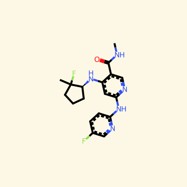 CNC(=O)c1cnc(Nc2ccc(F)cn2)cc1N[C@H]1CCCC1(C)F